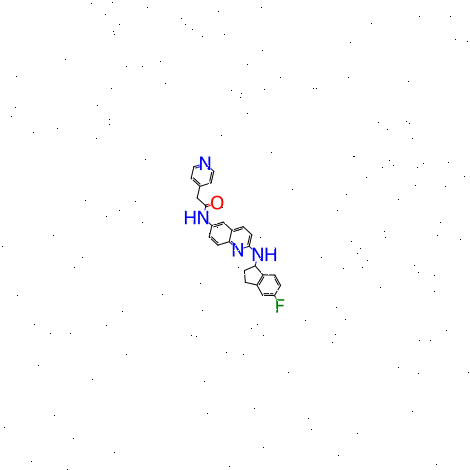 O=C(Cc1ccncc1)Nc1ccc2nc(NC3CCc4cc(F)ccc43)ccc2c1